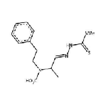 CNC(=S)NN=CC(C)N(CCc1ccccc1)C(=O)O